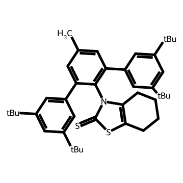 Cc1cc(-c2cc(C(C)(C)C)cc(C(C)(C)C)c2)c(-n2c3c(sc2=S)CCCC3)c(-c2cc(C(C)(C)C)cc(C(C)(C)C)c2)c1